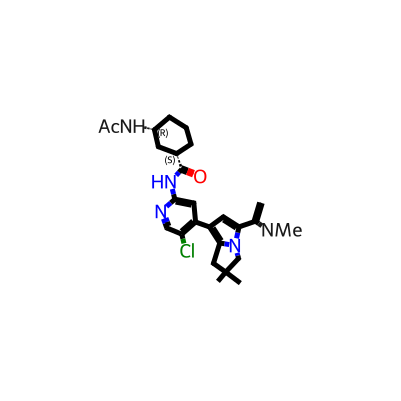 C=C(NC)c1cc(-c2cc(NC(=O)[C@H]3CCC[C@@H](NC(C)=O)C3)ncc2Cl)c2n1CC(C)(C)C2